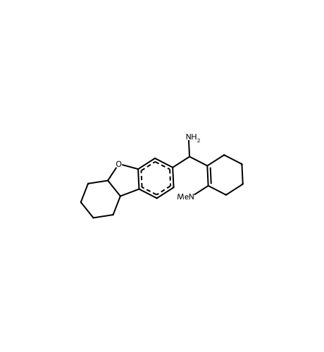 CNC1=C(C(N)c2ccc3c(c2)OC2CCCCC32)CCCC1